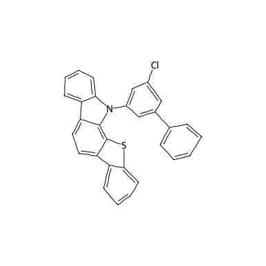 Clc1cc(-c2ccccc2)cc(-n2c3ccccc3c3ccc4c5ccccc5sc4c32)c1